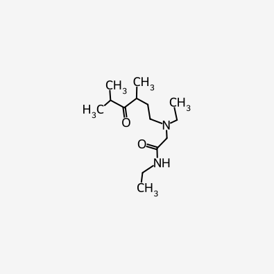 CCNC(=O)CN(CC)CCC(C)C(=O)C(C)C